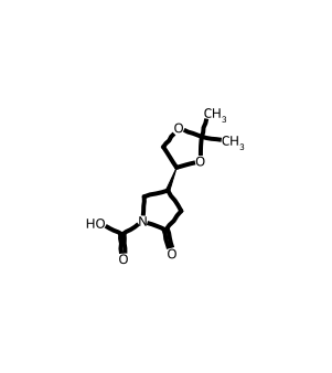 CC1(C)OC[C@H](C2CC(=O)N(C(=O)O)C2)O1